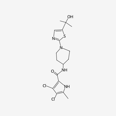 Cc1[nH]c(C(=O)NC2CCN(c3ncc(C(C)(C)O)s3)CC2)c(Cl)c1Cl